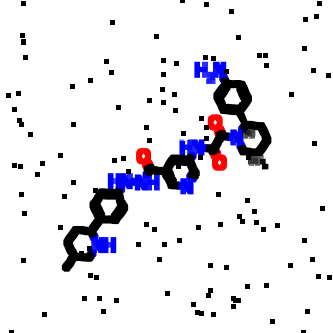 CC1CCC(c2ccc(NNC(=O)c3cncc(NC(=O)C(=O)N4C[C@@H](C)CC[C@@H]4c4ccc(N)cc4)c3)cc2)NC1